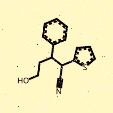 N#CC(c1cccs1)C(CCO)c1ccccc1